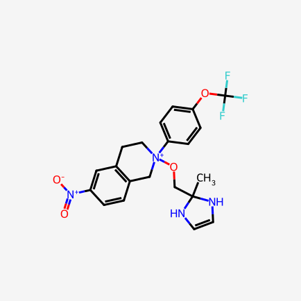 CC1(CO[N+]2(c3ccc(OC(F)(F)F)cc3)CCc3cc([N+](=O)[O-])ccc3C2)NC=CN1